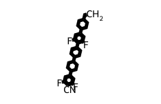 C=CC1CCC(c2cc(F)c(C3=CCC(C4CCC(c5cc(F)c(C#N)c(F)c5)CC4)CC3)c(F)c2)CC1